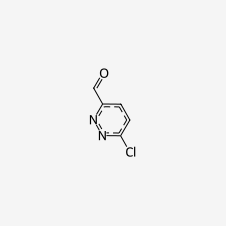 O=Cc1ccc(Cl)nn1